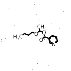 CCCCOC(C)OC(=O)c1cccnc1